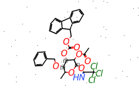 CC(=O)OC1[C@H](OC(=N)C(Cl)(Cl)Cl)OC(C)[C@H](OCc2ccccc2)[C@@H]1OC(=O)OCC1c2ccccc2-c2ccccc21